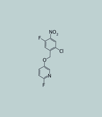 O=[N+]([O-])c1cc(Cl)c(COc2ccc(F)nc2)cc1F